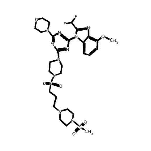 COc1cccc2c1nc(C(F)F)n2-c1nc(N2CCOCC2)nc(N2CCN(S(=O)(=O)CCCN3CCN(S(C)(=O)=O)CC3)CC2)n1